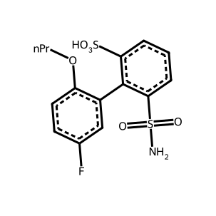 CCCOc1ccc(F)cc1-c1c(S(N)(=O)=O)cccc1S(=O)(=O)O